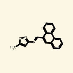 Cc1cc(/N=C/c2cc3ccccc3c3ccccc23)no1